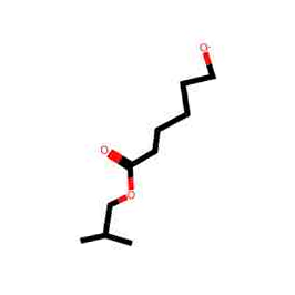 CC(C)COC(=O)CCCCC[O]